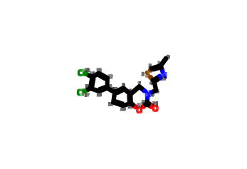 Cc1csc(CN2Cc3cc(-c4ccc(Cl)c(Cl)c4)ccc3OC2=O)n1